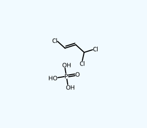 ClC=CC(Cl)Cl.O=P(O)(O)O